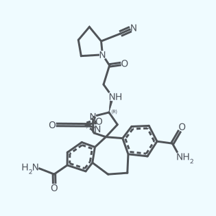 N#CC1CCCN1C(=O)CN[C@H]1CC2(c3ccc(C(N)=O)cc3CCc3cc(C(N)=O)ccc32)c2nc(=O)on21